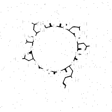 C/C=C/CC(C)CC1C(=O)NC(=O)N(C)CC(=O)N(C)C(CC(C)C)C(=O)NC(C(C)C)N(C)C(CC(C)C)NC(C)C(=O)NC(=O)N(C)C(CC(C)C)C(=O)N(C)C(CC(C)C)C(=O)N(C)C(=O)N1C